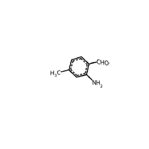 Cc1ccc([C]=O)c(N)c1